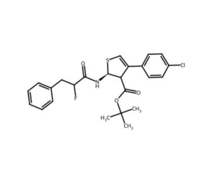 CC(C)(C)OC(=O)C1C(c2ccc(Cl)cc2)=CS[C@@H]1NC(=O)C(F)Cc1ccccc1